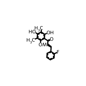 COc1c(C)c(O)c(C)c(O)c1C(=O)C=Cc1ccccc1F